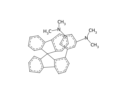 CN(C)c1cc(-c2cccc3c2C2(c4ccccc4-c4ccccc42)c2ccccc2-3)cc(N(C)C)c1